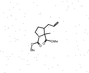 C=CCC1CCN(C(=O)OC(C)(C)C)C1(C)C(=O)OC